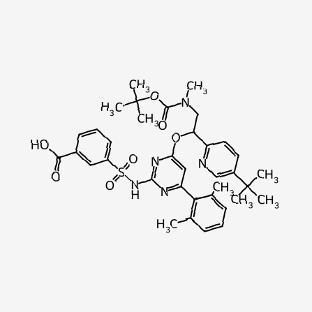 Cc1cccc(C)c1-c1cc(OC(CN(C)C(=O)OC(C)(C)C)c2ccc(C(C)(C)C)cn2)nc(NS(=O)(=O)c2cccc(C(=O)O)c2)n1